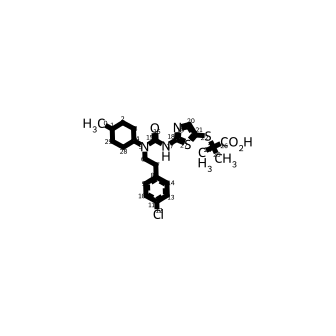 CC1CCC(N(CCc2ccc(Cl)cc2)C(=O)Nc2ncc(SC(C)(C)C(=O)O)s2)CC1